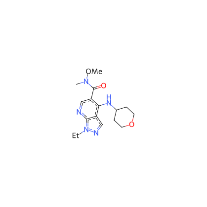 CCn1ncc2c(NC3CCOCC3)c(C(=O)N(C)OC)cnc21